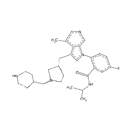 Cc1cncc2c1c(C[C@@H]1CCN(CC3CCNCC3)C1)cn2-c1ccc(F)cc1C(=O)NC(C)C